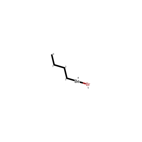 CCC[CH2][Be][Br]